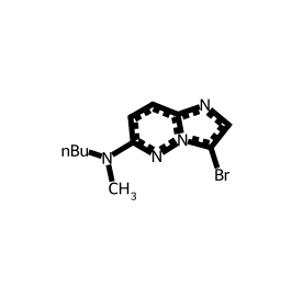 CCCCN(C)c1ccc2ncc(Br)n2n1